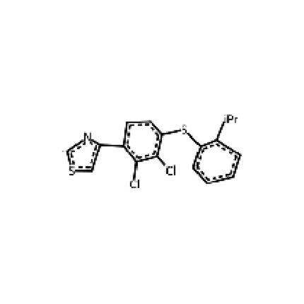 CC(C)c1ccccc1Sc1ccc(-c2cs[c]n2)c(Cl)c1Cl